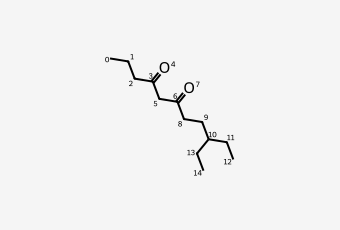 CCCC(=O)CC(=O)CCC(CC)CC